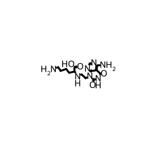 NCCCCC(NCCn1c(=O)[nH]c(=O)c2c(N)ncnc21)C(=O)O